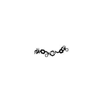 O=C1OCc2cc(CCN3CCCN(C(=O)Cc4ccc(-n5cncn5)cc4)CC3)ccc21